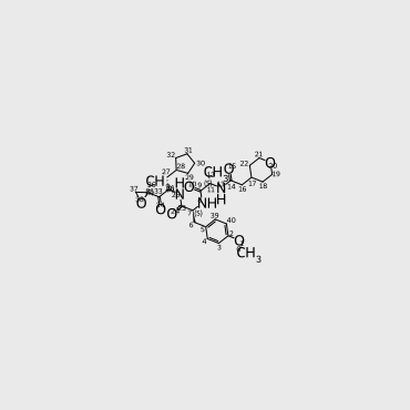 COc1ccc(C[C@H](NC(=O)[C@H](C)NC(=O)CC2CCOCC2)C(=O)N[C@@H](CC2CCCC2)C(=O)[C@]2(C)CO2)cc1